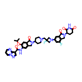 CC(C)Oc1cc2c(cc1NC(=O)c1cnn3cccnc13)CN(C1CCN(CC3(F)CN(c4cc(F)c5c(c4)C(=O)N(C4CCC(=O)NC4=O)C5)C3)CC1)C2=O